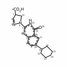 O=C(O)C1C=NN(c2nc3ccc(C4CCCCC4)cc3c(=O)[nH]2)C1